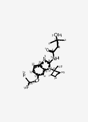 CC(C)(O)CC(=O)Nc1nc2ccc(OC(F)F)cc2n1C1(C)CCC1